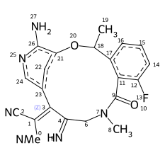 CN/C(C#N)=C1\C(=N)CN(C)C(=O)c2c(F)cccc2C(C)Oc2cc1cnc2N